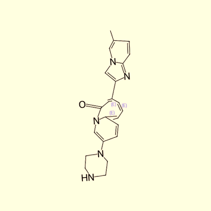 Cc1ccc2nc(C3=C\C(=O)N4C=C(N5CCNCC5)C=C\C4=C/C=C/3)cn2c1